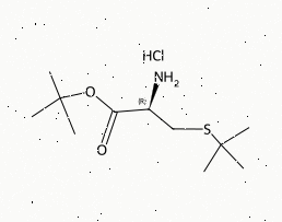 CC(C)(C)OC(=O)[C@@H](N)CSC(C)(C)C.Cl